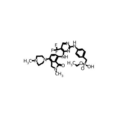 CCOP(=O)(O)Cc1ccc(Nc2ncc(C(F)(F)F)c(Nc3ccc(N4CCN(C)CC4)c4c3C(=O)N(C)C4)n2)cc1